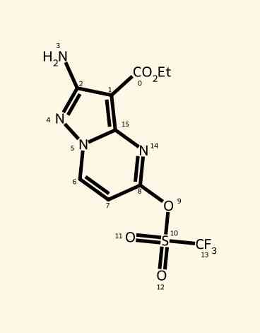 CCOC(=O)c1c(N)nn2ccc(OS(=O)(=O)C(F)(F)F)nc12